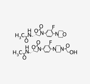 CC(=O)NC[C@H]1CN(c2ccc(N3CCN(C(=O)CO)CC3)c(F)c2)C(=O)O1.CC(=O)NC[C@H]1CN(c2ccc(N3CCOCC3)c(F)c2)C(=O)O1